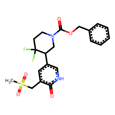 CS(=O)(=O)Cc1cc(C2CN(C(=O)OCc3ccccc3)CCC2(F)F)c[nH]c1=O